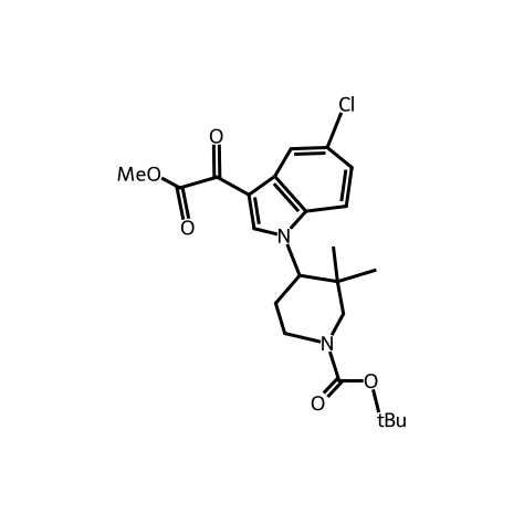 COC(=O)C(=O)c1cn(C2CCN(C(=O)OC(C)(C)C)CC2(C)C)c2ccc(Cl)cc12